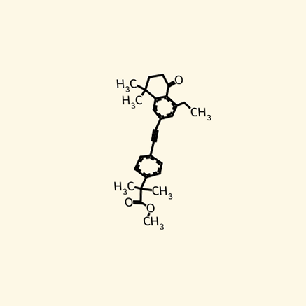 CCc1cc(C#Cc2ccc(C(C)(C)C(=O)OC)cc2)cc2c1C(=O)CCC2(C)C